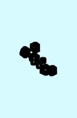 O=C(Oc1ccc2ccccc2c1)C1C=C(c2ccccc2)C(c2ccccc2)=CO1